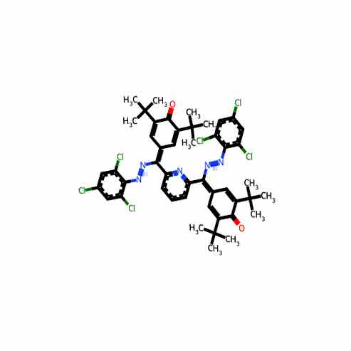 CC(C)(C)C1=CC(=C(/N=N/c2c(Cl)cc(Cl)cc2Cl)c2cccc(C(/N=N/c3c(Cl)cc(Cl)cc3Cl)=C3C=C(C(C)(C)C)C(=O)C(C(C)(C)C)=C3)n2)C=C(C(C)(C)C)C1=O